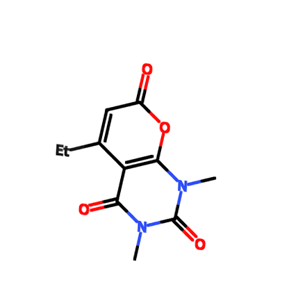 CCc1cc(=O)oc2c1c(=O)n(C)c(=O)n2C